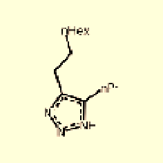 CCCCCCCCc1nn[nH]c1CCC